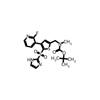 CN(Cc1cc(-c2cccnc2F)c(S(=O)(=O)c2ncc[nH]2)s1)C(=O)OC(C)(C)C